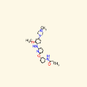 C=CC(=O)Nc1cccc(Oc2cccc(Nc3ccc(N4CCN(C)CC4)cc3OC)n2)c1